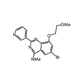 CNc1nc(-c2cccnc2)nc2c(OCCOC)cc(Br)cc12